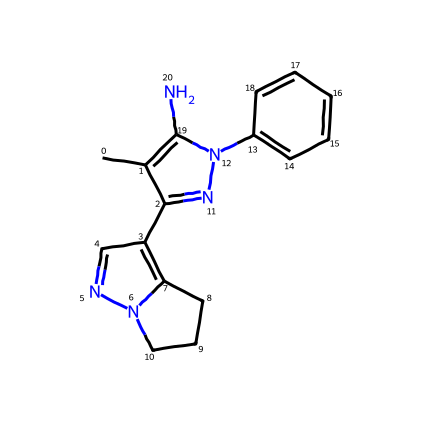 Cc1c(-c2cnn3c2CCC3)nn(-c2ccccc2)c1N